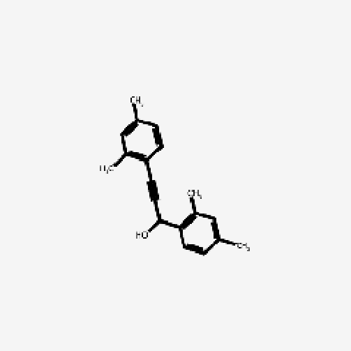 Cc1ccc(C#CC(O)c2ccc(C)cc2C)c(C)c1